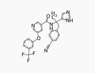 CC(Cc1ccc(C#N)cc1)(NC(=O)c1cncc(Oc2cccc(C(F)(F)F)c2)c1)c1cnc[nH]1